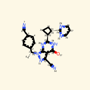 C[C@H](c1ccc(C#N)cc1)n1nc(C#N)c2c(=O)[nH]c([C@H]3CC[C@@H]3c3ncccn3)nc21